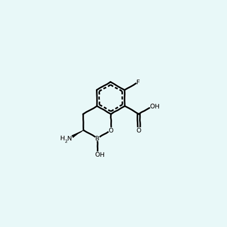 N[C@H]1Cc2ccc(F)c(C(=O)O)c2OB1O